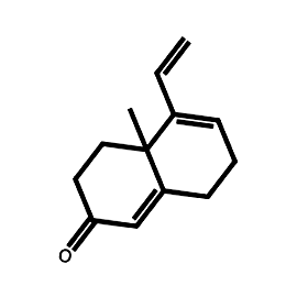 C=CC1=CCCC2=CC(=O)CCC12C